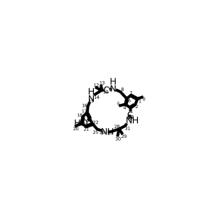 Cc1cc2c(C)c(c1)CNCC(C)(C)CNCc1cc(C)cc(c1O)CNCC(C)(C)CNC2